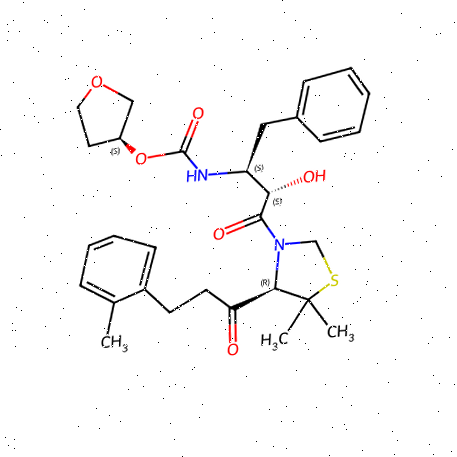 Cc1ccccc1CCC(=O)[C@H]1N(C(=O)[C@@H](O)[C@H](Cc2ccccc2)NC(=O)O[C@H]2CCOC2)CSC1(C)C